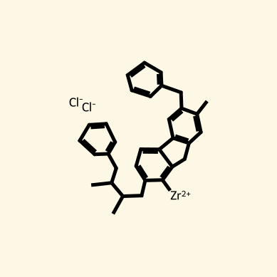 Cc1cc2c(cc1Cc1ccccc1)-c1ccc(CC(C)C(C)Cc3ccccc3)[c]([Zr+2])c1C2.[Cl-].[Cl-]